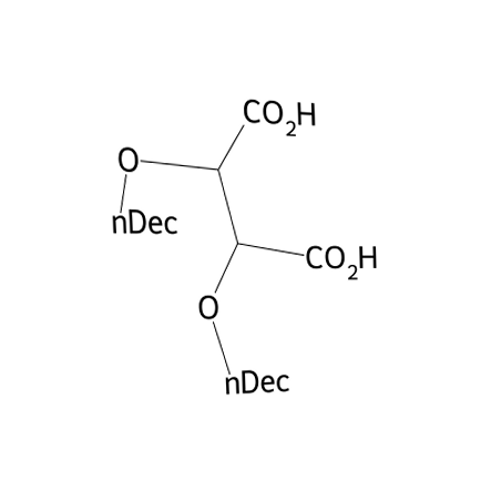 CCCCCCCCCCOC(C(=O)O)C(OCCCCCCCCCC)C(=O)O